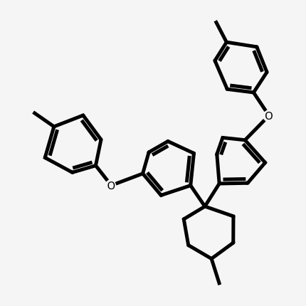 Cc1ccc(Oc2ccc(C3(c4cccc(Oc5ccc(C)cc5)c4)CCC(C)CC3)cc2)cc1